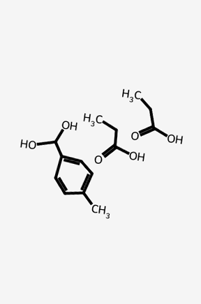 CCC(=O)O.CCC(=O)O.Cc1ccc(C(O)O)cc1